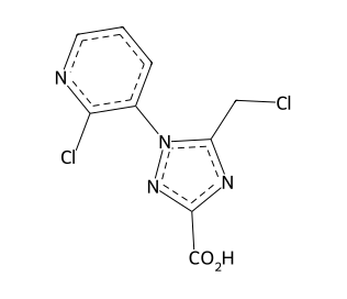 O=C(O)c1nc(CCl)n(-c2cccnc2Cl)n1